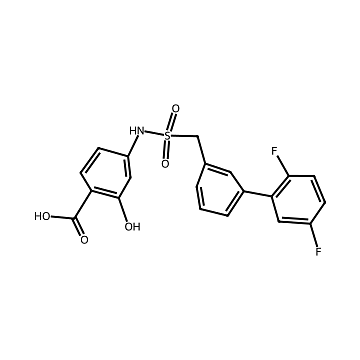 O=C(O)c1ccc(NS(=O)(=O)Cc2cccc(-c3cc(F)ccc3F)c2)cc1O